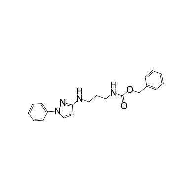 O=C(NCCCNc1ccn(-c2ccccc2)n1)OCc1ccccc1